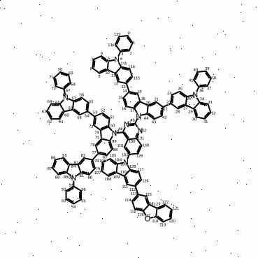 c1ccc(-n2c3ccccc3c3cc(-c4ccc5c(c4)c4cc(-c6ccc7c(c6)c6ccccc6n7-c6ccccc6)ccc4n5-c4nc(-n5c6ccc(-c7ccc8c(c7)c7ccccc7n8-c7ccccc7)cc6c6cc(-c7ccc8c(c7)c7ccccc7n8-c7ccccc7)ccc65)c5cc(-n6c7ccccc7c7cc(-c8ccc9oc%10ccccc%10c9c8)ccc76)ccc5n4)ccc32)cc1